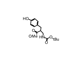 COC(=O)C(CNC(=O)OC(C)(C)C)Cc1ccc(O)cc1